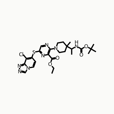 CCOC(=O)c1nc(Sc2ccn3cnnc3c2Cl)cnc1N1CCC(C)(C(C)NC(=O)OC(C)(C)C)CC1